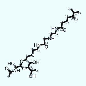 CC(=O)NC(O)C(OCCOCCNC(=O)CNCCNC(=O)CCCC(=O)C(C)C)OC(CO)C(C)O